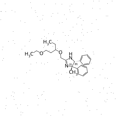 CCOCCC(CC)OCC1=N[C@@](C)(c2ccccc2)[C@@H](c2ccccc2)N1